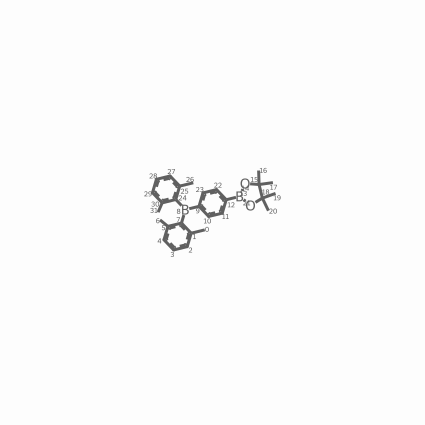 Cc1cccc(C)c1B(c1ccc(B2OC(C)(C)C(C)(C)O2)cc1)c1c(C)cccc1C